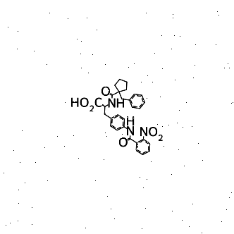 O=C(Nc1ccc(C[C@H](NC(=O)C2(Cc3ccccc3)CCCC2)C(=O)O)cc1)c1ccccc1[N+](=O)[O-]